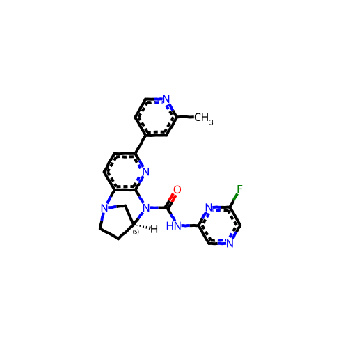 Cc1cc(-c2ccc3c(n2)N(C(=O)Nc2cncc(F)n2)[C@H]2CCN3C2)ccn1